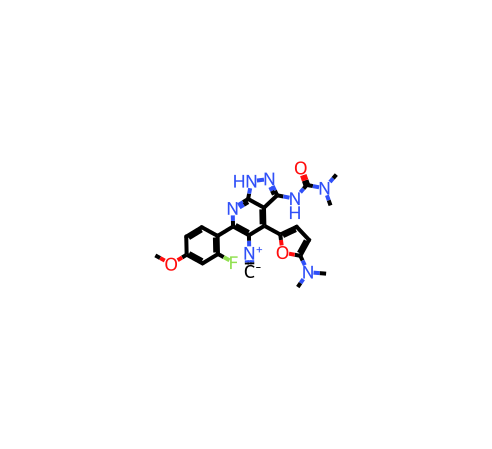 [C-]#[N+]c1c(-c2ccc(OC)cc2F)nc2[nH]nc(NC(=O)N(C)C)c2c1-c1ccc(N(C)C)o1